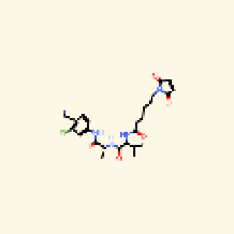 CC(C)[C@H](NC(=O)CCCCCN1C(=O)C=CC1=O)C(=O)N[C@@H](C)C(=O)Nc1ccc(CI)c(Cl)c1